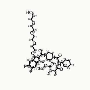 CC(C(=O)NC(C(=O)N1CCN(C(=O)c2c(OCCOCCOCCOCCO)c3cc(F)c(F)cc3n2C)CC1)C1CCCCC1)N(C)C(=O)OC(C)(C)C